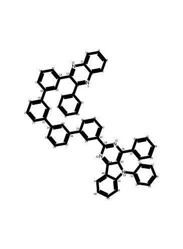 c1ccc(-c2nc3ccccc3nc2-c2cccc(-c3cccc(-c4cccc(-c5cccc(-c6nc(-c7ccccc7)c7c(n6)c6ccccc6n7-c6ccccc6)c5)c4)c3)c2)cc1